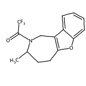 CC1CCc2oc3ccccc3c2CN1C(=O)C(F)(F)F